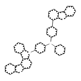 c1ccc(N(c2ccc(-c3cccc4c3sc3ccccc34)cc2)c2ccc(-n3c4ccccc4c4c5c(ccc43)sc3ccccc35)cc2)cc1